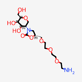 NCCOCCOCCOC[C@H]1CN([C@H]2CO[C@H](CO)[C@H](O)[C@@H]2O)C(=O)O1